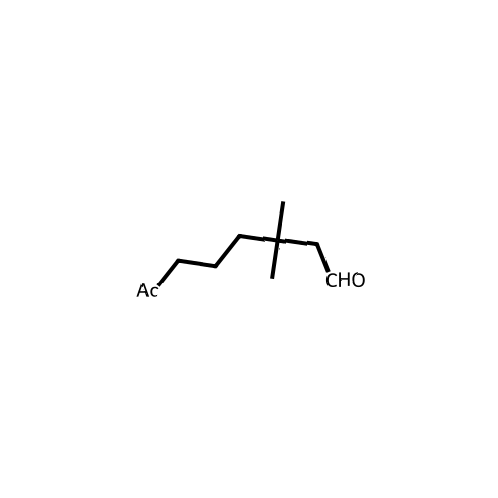 CC(=O)CCCC(C)(C)CC=O